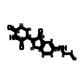 CCCNc1ccc2c(c1)C(=O)N(C1CCC(=O)NC1=O)C2